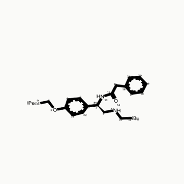 CCCC(C)COc1ccc([C@H](CNCC(C)CC)NC(=O)Cc2ccccc2)cc1